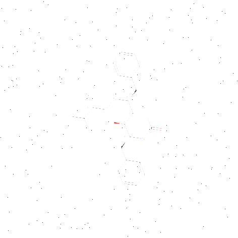 CC(C)[C@H](N)CN[C@@H](Cc1ccccc1)C[C@H](O)[C@H](Cc1ccccc1)NC(=O)O